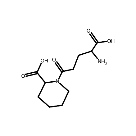 NC(CCC(=O)N1CCCCC1C(=O)O)C(=O)O